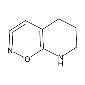 C1=CC2=C(NCCC2)ON=1